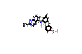 Cc1ccc(Sc2ccc(O)cc2)c(Nc2ncnc3nc(C(C)C)ncc23)c1